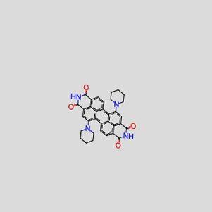 O=C1NC(=O)c2cc(N3CCCCC3)c3c4ccc5c6c(cc(N7CCCCC7)c(c7ccc1c2c73)c64)C(=O)NC5=O